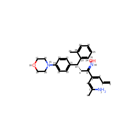 C=C/C=C(\C=C(\C)N)C(/C[C@H](c1ccc(N2CCOCC2)cc1)c1ccccc1C)=N/O